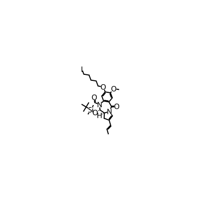 C/C=C/C1=CN2C(=O)c3cc(OC)c(OCCCCCI)cc3N(C=O)[C@@H](O[Si](C)(C)C(C)(C)C)[C@@H]2C1